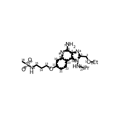 CCOCc1nc2c(N)nc3cc(OCCCNS(C)(=O)=O)ccc3c2n1NC(C)C